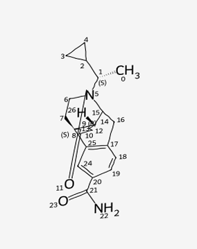 C[C@@H](C1CC1)N1CC[C@]23CC(=O)CC[C@H]2C1Cc1ccc(C(N)=O)cc13